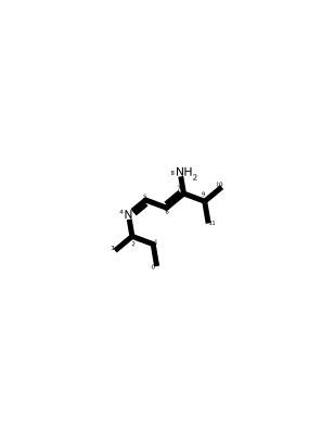 CCC(C)/N=C\C=C(/N)C(C)C